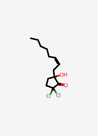 CCCCC/C=C\CC1(O)CCC(Cl)(Cl)C1=O